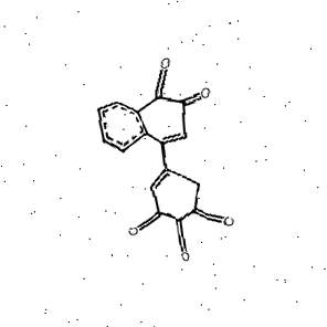 O=C1C=C(C2=CC(=O)C(=O)c3ccccc32)CC(=O)C1=O